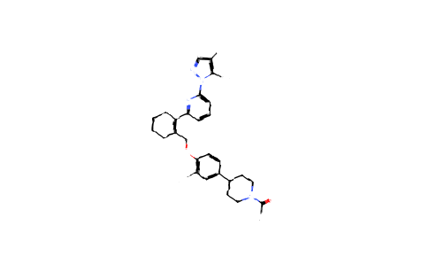 CCC(=O)N1CCC(c2ccc(OCC3=C(c4cccc(-n5ncc(C(=O)O)c5C(F)(F)F)n4)CCCC3)c(C)c2)CC1